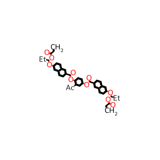 C=CC(=O)OC(CC)Oc1ccc2cc(C(=O)Oc3ccc(OC(=O)c4ccc5cc(OC(CC)OC(=O)C=C)ccc5c4)c(C(C)=O)c3)ccc2c1